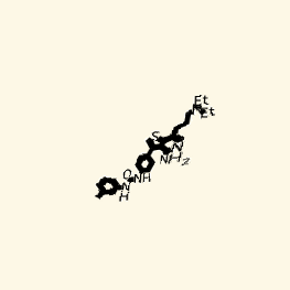 CCN(CC)CCCc1cnc(N)c2c(-c3ccc(NC(=O)Nc4cccc(C)c4)cc3)csc12